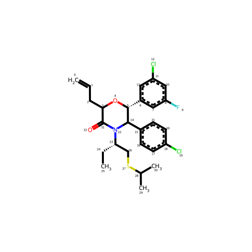 C=CCC1O[C@H](c2cc(F)cc(Cl)c2)C(c2ccc(Cl)cc2)N([C@@H](CC)CSC(C)C)C1=O